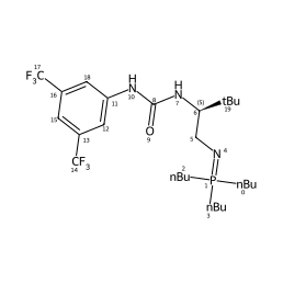 CCCCP(CCCC)(CCCC)=NC[C@@H](NC(=O)Nc1cc(C(F)(F)F)cc(C(F)(F)F)c1)C(C)(C)C